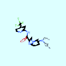 CN(C)c1ccc2nc(C(=O)Nc3cc(C(F)(F)F)ccn3)cn2c1